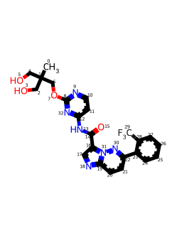 CC(CO)(CO)COc1nccc(NC(=O)c2cnc3ccc(-c4ccccc4C(F)(F)F)nn23)n1